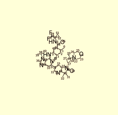 Cc1cc(F)c(Nc2nc(-c3cnc4c(c3)N([C@H]3C[C@@](C)(N5CCOCC5)C3)C(=O)C4(C)C)cc3ncn(C(C)C)c23)cc1C(=O)NC1(C(F)F)CC1